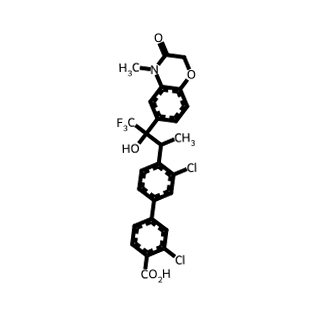 CC(c1ccc(-c2ccc(C(=O)O)c(Cl)c2)cc1Cl)C(O)(c1ccc2c(c1)N(C)C(=O)CO2)C(F)(F)F